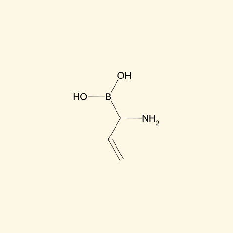 C=CC(N)B(O)O